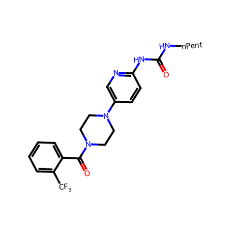 CCCCCNC(=O)Nc1ccc(N2CCN(C(=O)c3ccccc3C(F)(F)F)CC2)cn1